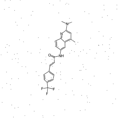 Cc1cc(N(C)C)nc2ccc(NC(=O)C=Cc3ccc(C(F)(F)F)cc3)cc12